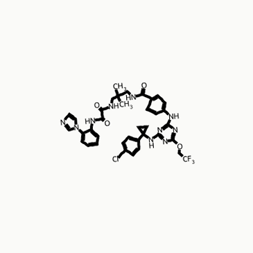 CC(C)(CNC(=O)C(=O)Nc1ccccc1-n1ccnc1)CNC(=O)c1ccc(Nc2nc(NC3(c4ccc(Cl)cc4)CC3)nc(OCC(F)(F)F)n2)cc1